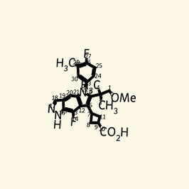 COCC(C)(C)c1c(C2CC(C(=O)O)C2)c2c(F)c3[nH]ncc3cc2n1-c1ccc(F)c(C)c1